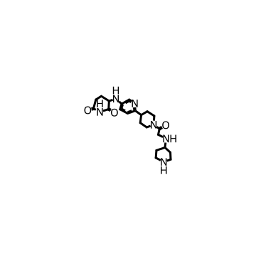 O=C1CCC(Nc2ccc(C3CCN(C(=O)CNC4CCNCC4)CC3)nc2)C(=O)N1